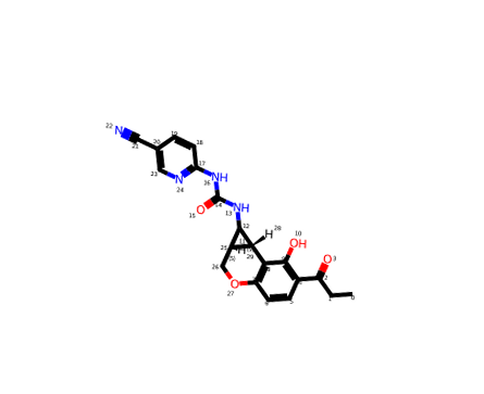 CCC(=O)c1ccc2c(c1O)[C@H]1C(NC(=O)Nc3ccc(C#N)cn3)[C@H]1CO2